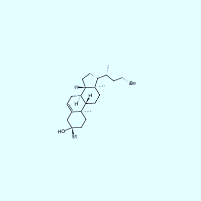 CC[C@@H](C)CC[C@@H](C)[C@H]1CC[C@H]2[C@@H]3CC=C4C[C@](O)(CC)CC[C@]4(C)[C@H]3CC[C@]12C